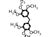 COc1cc([CH]c2cc(OC)c(OC)c(OC)c2)cc(OC)c1OC